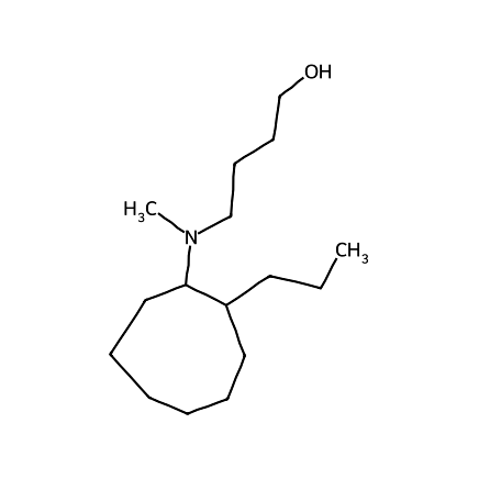 CCCC1CCCCCCC1N(C)CCCCO